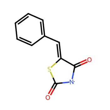 O=C1[N]C(=O)C(=Cc2ccccc2)S1